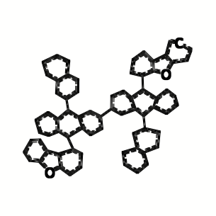 c1ccc2cc(-c3c4ccccc4c(-c4cccc5c4oc4ccccc45)c4ccc(-c5ccc6c(-c7cccc8oc9ccccc9c78)c7ccccc7c(-c7ccc8ccccc8c7)c6c5)cc34)ccc2c1